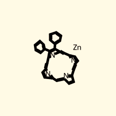 C1=CC2=NC1=CC1=NC(=CC3=NC(=CC4=NC(=C2)C=C4)C(c2ccccc2)=C3c2ccccc2)C=C1.[Zn]